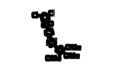 COc1cc(-c2csc(N3CCN(S(=O)(=O)c4cc(Cl)cc(Cl)c4)CC3)n2)cc(OC)c1OC